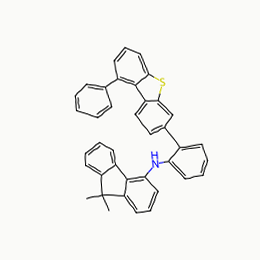 CC1(C)c2ccccc2-c2c(Nc3ccccc3-c3ccc4c(c3)sc3cccc(-c5ccccc5)c34)cccc21